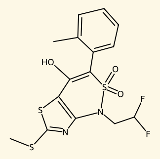 CSc1nc2c(s1)C(O)=C(c1ccccc1C)S(=O)(=O)N2CC(F)F